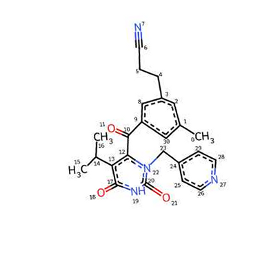 Cc1cc(CCC#N)cc(C(=O)c2c(C(C)C)c(=O)[nH]c(=O)n2Cc2ccncc2)c1